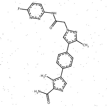 Cc1nn(CC(=O)Nc2ccc(F)nn2)cc1-c1ccc(-c2cnc(C(N)=O)n2C)cc1